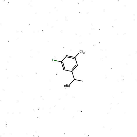 CCCCC(C)c1cc(F)cc(C(F)(F)F)c1